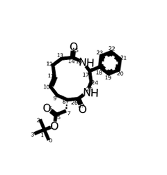 CC(C)(C)OC(=O)C[C@@H]1C/C=C/CCC(=O)NC(c2ccccc2)CNC1=O